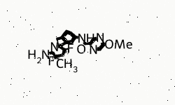 COc1cnc(C(=O)Nc2ccc3c(c2)[C@@]2(C3)N=C(N)[C@](C)(F)C[C@@H]2F)cn1